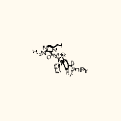 CCCN(C)C(=O)c1ccc2c(c1)n(CC)c(CNC(=O)c1nc(CI)cnc1N)[n+]2CC